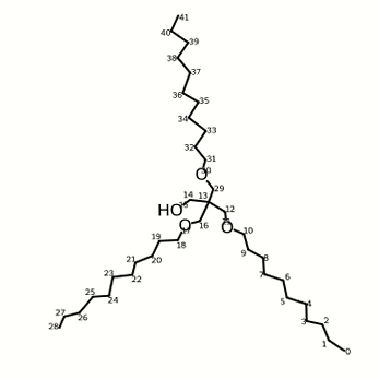 CCCCCCCCCCCOCC(CO)(COCCCCCCCCCCC)COCCCCCCCCCCC